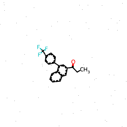 CCC(=O)c1cc(-c2ccc(C(F)(F)F)cc2)c2ccccc2c1